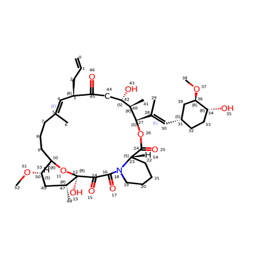 C=CC[C@@H]1/C=C(\C)CCC[C@H]2O[C@@](O)(C(=O)C(=O)N3CCCC[C@H]3C(=O)O[C@H](/C(C)=C/[C@H]3CC[C@@H](O)[C@H](OC)C3)[C@H](C)[C@@H](O)CC1=O)[C@H](C)C[C@@H]2OC